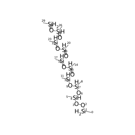 C[SiH2]OO[SiH](C)O[SiH](C)O[SiH](C)O[SiH](C)O[SiH](C)O[SiH](C)O[SiH](C)O[SiH](C)O[SiH2]C